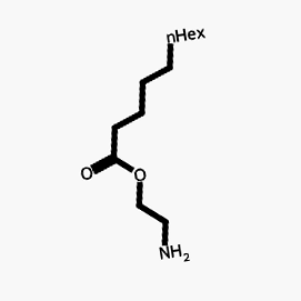 CCCCCCCCCCC(=O)OCCN